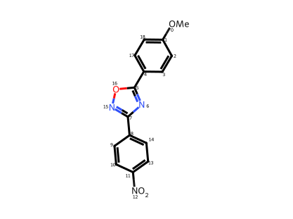 COc1ccc(-c2nc(-c3ccc([N+](=O)[O-])cc3)no2)cc1